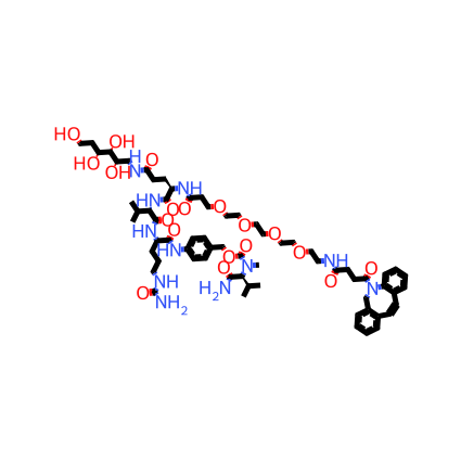 CC(C)[C@H](NC(=O)[C@@H](CCC(=O)NC[C@H](O)[C@@H](O)[C@H](O)CCO)NC(=O)CCOCCOCCOCCOCCNC(=O)CCC(=O)N1Cc2ccccc2C#Cc2ccccc21)C(=O)NC(CCCNC(N)=O)C(=O)Nc1ccc(COC(=O)N(C)[C@H](C(N)=O)C(C)C)cc1